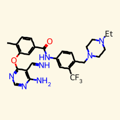 CCN1CCN(Cc2ccc(NC(=O)c3ccc(C)c(Oc4ncnc(N)c4C=N)c3)cc2C(F)(F)F)CC1